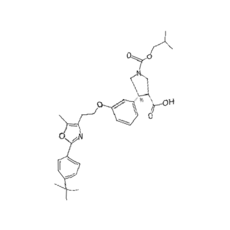 Cc1oc(-c2ccc(C(C)(C)C)cc2)nc1CCOc1cccc([C@@H]2CN(C(=O)OCC(C)C)CC2C(=O)O)c1